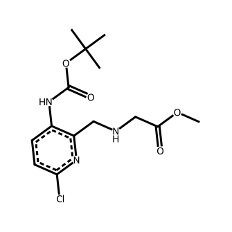 COC(=O)CNCc1nc(Cl)ccc1NC(=O)OC(C)(C)C